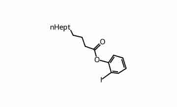 CCCCCCCCCCC(=O)Oc1ccccc1I